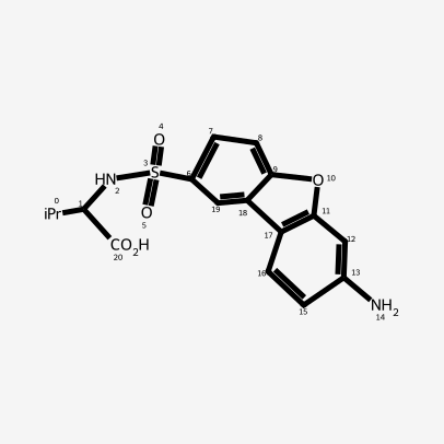 CC(C)C(NS(=O)(=O)c1ccc2oc3cc(N)ccc3c2c1)C(=O)O